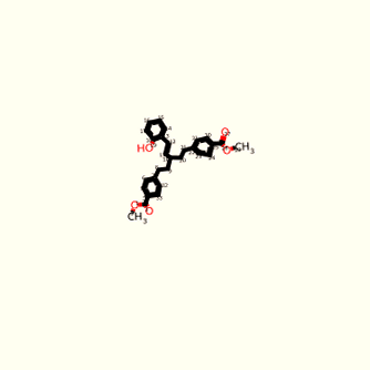 COC(=O)c1ccc(CCC(C=Cc2ccccc2O)CCc2ccc(C(=O)OC)cc2)cc1